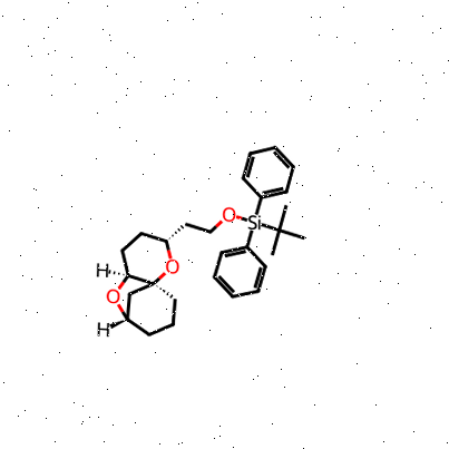 CC(C)(C)[Si](OCC[C@H]1CC[C@@H]2O[C@H]3CCC[C@@]2(C3)O1)(c1ccccc1)c1ccccc1